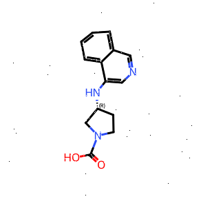 O=C(O)N1CC[C@@H](Nc2cncc3ccccc23)C1